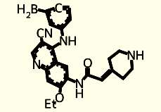 Bc1cccc(Nc2c(C#N)cnc3cc(OCC)c(NC(=O)C=C4CCNCC4)cc23)c1